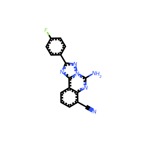 N#Cc1cccc2c1nc(N)n1nc(-c3ccc(F)cc3)nc21